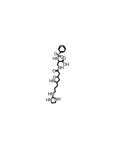 O=C(CC1CC(CCCNC2NCCN2)NO1)NCC(NS(=O)(=O)c1ccccc1)C(=O)O